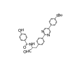 CC(C)(C)c1ccc(-c2cnc(-c3ccc(CC(C=O)NC(=O)c4ccc(O)cc4)cc3)nc2)cc1